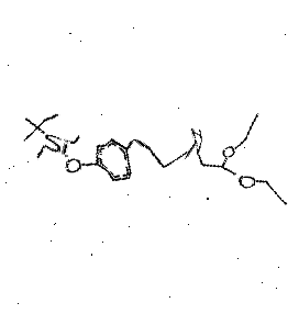 CCOC(CNCCc1ccc(O[Si](C)(C)C(C)(C)C)cc1)OCC